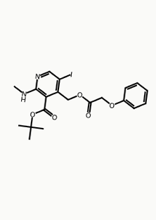 CNc1ncc(I)c(COC(=O)COc2ccccc2)c1C(=O)OC(C)(C)C